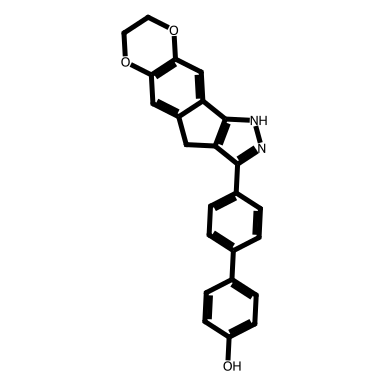 Oc1ccc(-c2ccc(-c3n[nH]c4c3Cc3cc5c(cc3-4)OCCO5)cc2)cc1